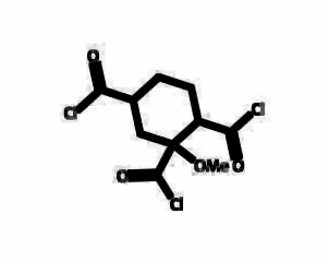 COC1(C(=O)Cl)CC(C(=O)Cl)CCC1C(=O)Cl